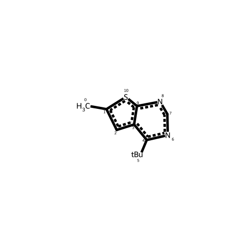 Cc1cc2c(C(C)(C)C)ncnc2s1